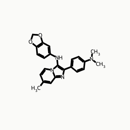 Cc1ccn2c(Nc3ccc4c(c3)OCO4)c(-c3ccc(N(C)C)cc3)nc2c1